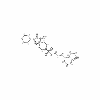 O=C1NC(C2CCCCC2)=NC12CCN(S(=O)(=O)CC/C=C/c1cccc3[nH]ccc13)CC2